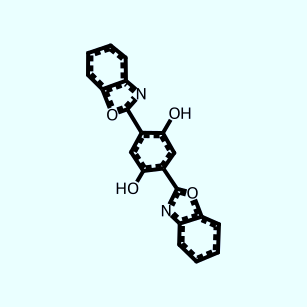 Oc1cc(-c2nc3ccccc3o2)c(O)cc1-c1nc2ccccc2o1